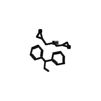 C(NCC1CO1)C1CO1.CCC(c1ccccc1)c1ccccc1